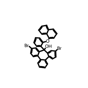 OC1(c2ccccc2Oc2cccc3ccccc23)c2cc(Br)ccc2-c2ccccc2-c2ccc(Br)cc21